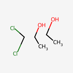 CCO.CCO.ClCCl